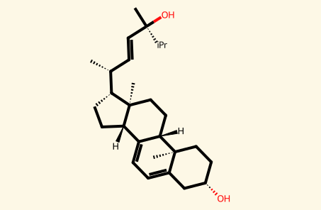 CC(C)[C@](C)(O)/C=C/[C@@H](C)[C@H]1CC[C@H]2C3=CC=C4C[C@@H](O)CC[C@]4(C)[C@H]3CC[C@]12C